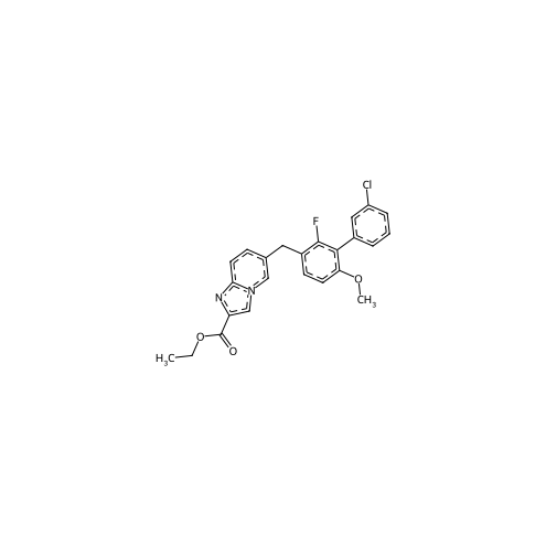 CCOC(=O)c1cn2cc(Cc3ccc(OC)c(-c4cccc(Cl)c4)c3F)ccc2n1